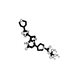 CC(C)(C)OC(=O)N1CCC(c2cc(=O)[nH]c3c(-c4noc(C5CCOCC5)n4)cnn23)CC1